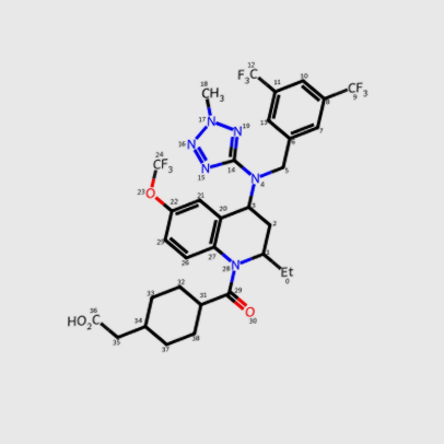 CCC1CC(N(Cc2cc(C(F)(F)F)cc(C(F)(F)F)c2)c2nnn(C)n2)c2cc(OC(F)(F)F)ccc2N1C(=O)C1CCC(CC(=O)O)CC1